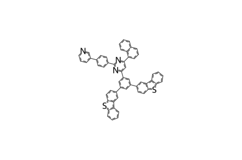 c1cncc(-c2ccc(-c3nc(-c4cc(-c5ccc6sc7ccccc7c6c5)cc(-c5ccc6sc7ccccc7c6c5)c4)cc(-c4cccc5ccccc45)n3)cc2)c1